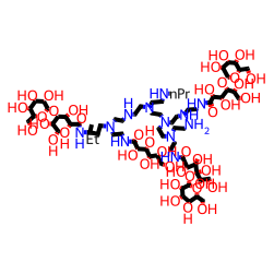 CCCNCCN(CCNCCN(CCNC(=O)C(O)C(O)C(O)C(O)CO)CCC(C)(CC)NC(=O)C(O)C(O)C(OC1OC(CO)C(O)C(O)C1O)C(O)CO)CCN(CCNCCNC(=O)C(O)C(O)C(OC1OC(CO)C(O)C(O)C1O)C(O)CO)CCN(CCN)CCNC(=O)C(O)C(O)C(O)(OC1OC(CO)C(O)C(O)C1O)C(O)CO